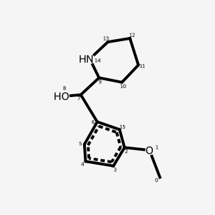 COc1cccc(C(O)C2CCCCN2)c1